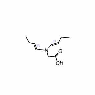 CC/C=C/N(/C=C/CC)CC(=O)O